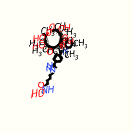 CCC1OC(=O)[C@H](C)[C@H](O)[C@H](C)[C@@H](OC2C[C@@H](N(C)Cc3ccc(-c4cn(CCCCCC(=O)NO)nn4)cc3)C[C@@H](C)O2)[C@@](C)(OC)C[C@@H](C)C(=O)[C@H](C)[C@@H](O)[C@]1(C)O